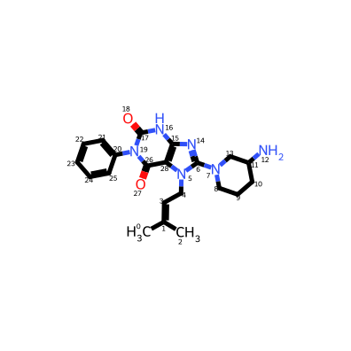 CC(C)=CCn1c(N2CCCC(N)C2)nc2[nH]c(=O)n(-c3ccccc3)c(=O)c21